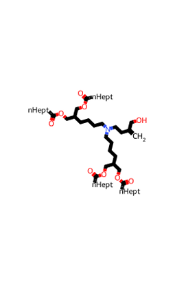 C=C(CO)CCN(CCCCC(COC(=O)CCCCCCC)COC(=O)CCCCCCC)CCCCC(COC(=O)CCCCCCC)COC(=O)CCCCCCC